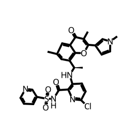 Cc1cc([C@@H](C)Nc2ccc(Cl)nc2C(=O)NS(=O)(=O)c2cccnc2)c2oc(-c3ccn(C)c3)c(C)c(=O)c2c1